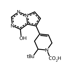 CC(C)(C)C1CC(c2ccn3ncnc(O)c23)=CCN1C(=O)O